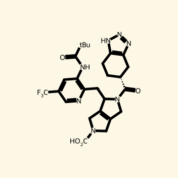 CC(C)(C)C(=O)Nc1cc(C(F)(F)F)cnc1[CH]C1C2=C(CN(C(=O)O)C2)CN1C(=O)[C@@H]1CCc2[nH]nnc2C1